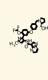 Cn1cc(NC(=O)c2cnn3cccnc23)c(-c2cc(Oc3ccc(CN4CCC[C@H]4CO)cc3)ccc2OC(F)F)n1